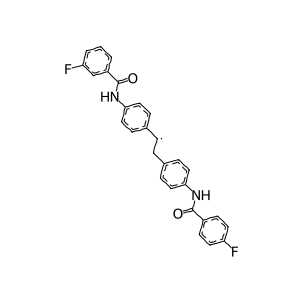 O=C(Nc1ccc(C[CH]c2ccc(NC(=O)c3cccc(F)c3)cc2)cc1)c1ccc(F)cc1